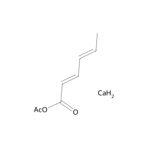 C/C=C/C=C/C(=O)OC(C)=O.[CaH2]